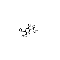 COC(=O)c1nc(O)c(C=O)cc1Cl